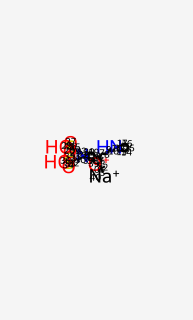 CC(C)(C)c1cc(C=CC=CNc2ccccc2)c2ccc(N(CCCS(=O)(=O)O)CCCS(=O)(=O)O)cc2[o+]1.[Na+]